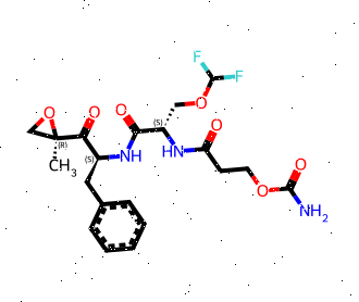 C[C@]1(C(=O)[C@H](Cc2ccccc2)NC(=O)[C@H](COC(F)F)NC(=O)[CH]COC(N)=O)CO1